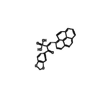 O=C(/C(=C\c1ccc2ccc3cccc4ccc1c2c34)P(=O)(O)O)c1ccc2c(c1)OCO2